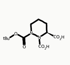 CC(C)(C)OC(=O)N1CCC[C@@H](C(=O)O)N1C(=O)O